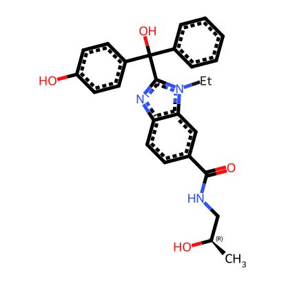 CCn1c(C(O)(c2ccccc2)c2ccc(O)cc2)nc2ccc(C(=O)NC[C@@H](C)O)cc21